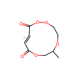 CC1COC(=O)/C=C/C(=O)OOCCO1